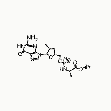 CC(C)OC(=O)[C@@H](C)N[PH](=O)OC[C@@H]1C[C@H](C)[C@H](n2cnc3c(=O)[nH]c(N)nc32)O1